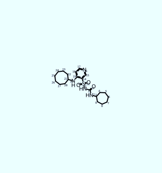 O=C(NC1CCCCCC1)NS(=O)(=O)c1cnccc1NC1CCCCCCC1